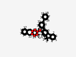 CC1(C)c2ccccc2-c2cc3c4cc(-c5ccccc5)ccc4n(-c4cc5c(cc4C#N)C4c6ccccc6C5c5cc(C#N)ccc54)c3cc21